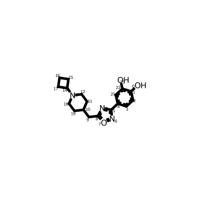 Oc1ccc(-c2noc(CC3CCN(C4CCC4)CC3)n2)cc1O